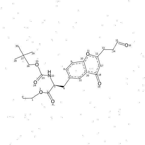 CCOC(=O)[C@H](Cc1ccc2oc(CCC=O)cc(=O)c2c1)NC(=O)OCC(C)(C)C